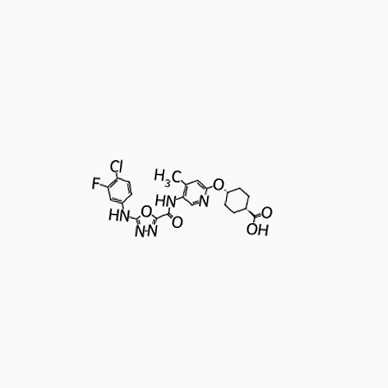 Cc1cc(O[C@H]2CC[C@H](C(=O)O)CC2)ncc1NC(=O)c1nnc(Nc2ccc(Cl)c(F)c2)o1